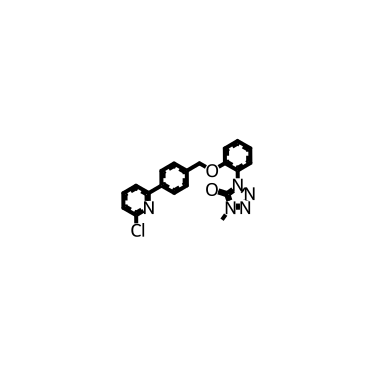 Cn1nnn(-c2ccccc2OCc2ccc(-c3cccc(Cl)n3)cc2)c1=O